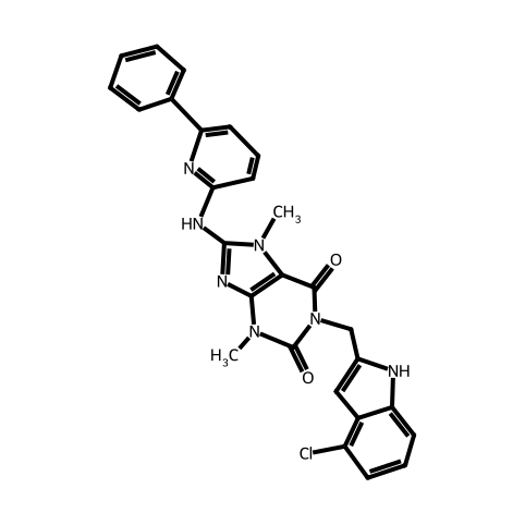 Cn1c(Nc2cccc(-c3ccccc3)n2)nc2c1c(=O)n(Cc1cc3c(Cl)cccc3[nH]1)c(=O)n2C